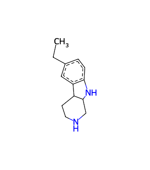 CCc1ccc2c(c1)C1CCNCC1N2